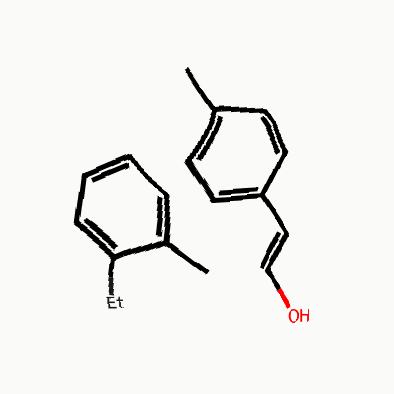 CCc1ccccc1C.Cc1ccc(C=CO)cc1